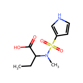 CCC(C(=O)O)N(C)S(=O)(=O)c1cc[nH]c1